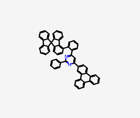 c1ccc(-c2nc(-c3ccc4c5ccccc5c5ccccc5c4c3)cc(-c3ccccc3-c3cccc4c3-c3ccccc3C43c4ccccc4-c4ccccc43)n2)cc1